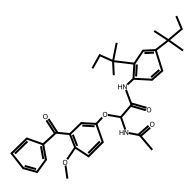 CCC(C)(C)c1ccc(NC(=O)C(NC(C)=O)Oc2ccc(OC)c(C(=O)c3ccccc3)c2)c(C(C)(C)CC)c1